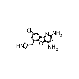 Nc1nc(N)c2oc3c(CC4CNC4)cc(Cl)cc3c2n1